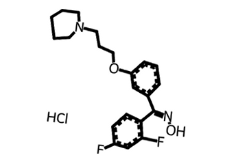 Cl.ON=C(c1cccc(OCCCN2CCCCC2)c1)c1ccc(F)cc1F